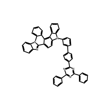 c1ccc(-c2nc(-c3ccccc3)nc(-c3ccc(-c4cccc(-n5c6ccccc6c6c7c8ccccc8n8c9ccccc9nc8c7ccc65)c4)cc3)n2)cc1